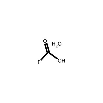 O.O=C(O)F